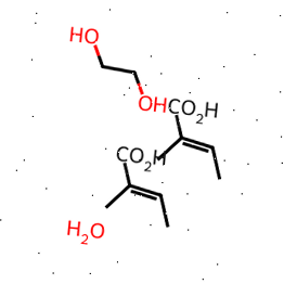 CC=C(C)C(=O)O.CC=C(C)C(=O)O.O.OCCO